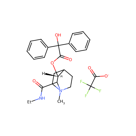 CCNC(=O)C1[C@H](OC(=O)C(O)(c2ccccc2)c2ccccc2)C2CC[N+]1(C)CC2.O=C([O-])C(F)(F)F